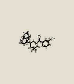 CC(C)c1cccc(C(=O)N2CC(c3ccnc4ncnn34)CC(F)(F)C2)c1